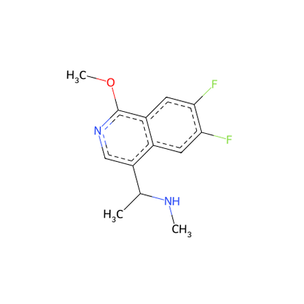 CNC(C)c1cnc(OC)c2cc(F)c(F)cc12